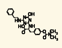 CN(C)C(=O)Oc1ccc(C[C@H](Nc2nc(O)nc(NCCc3ccccc3)n2)C(=O)O)cc1